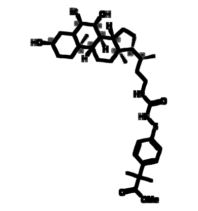 CC[C@@H]1C2C[C@H](O)CC[C@]2(C)[C@H]2CC[C@]3(C)[C@@H]([C@H](C)CCNC(=O)NSc4ccc(C(C)(C)C(=O)OC)cc4)CC[C@H]3[C@@H]2[C@@H]1O